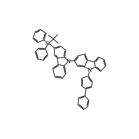 CC(C)(C)[Si](c1ccccc1)(c1ccccc1)c1ccc2c(c1)c1ccccc1n2-c1ccc2c3ccccc3n(-c3ccc(-c4ccccc4)cc3)c2c1